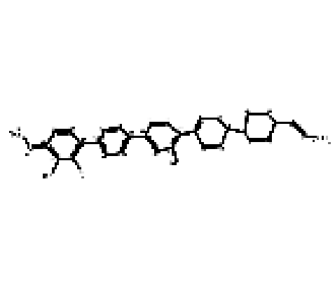 C/C=C/C1CCC(C2CC=C(c3ccc(-c4ccc(-c5ccc(OCCCCCCCCC)c(F)c5F)cc4)cc3F)CC2)CC1